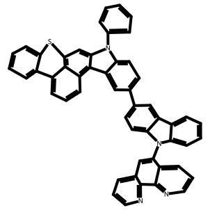 c1ccc(-n2c3ccc(-c4ccc5c(c4)c4ccccc4n5-c4cc5cccnc5c5ncccc45)cc3c3c4cccc5c4c(cc32)Sc2ccccc2-5)cc1